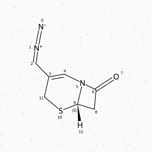 [N-]=[N+]=CC1=CN2C(=O)C[C@@H]2SC1